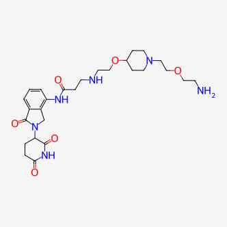 NCCOCCN1CCC(OCCNCCC(=O)Nc2cccc3c2CN(C2CCC(=O)NC2=O)C3=O)CC1